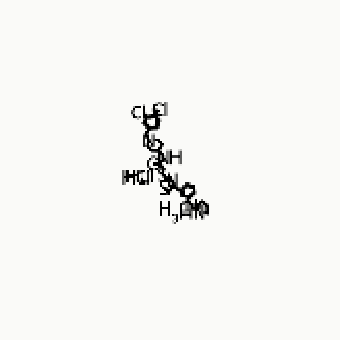 CN(c1cccc(-c2csc(SCC(=O)NC3CCN(Cc4ccc(Cl)c(Cl)c4)CC3)n2)c1)[C@@H]1CCCN1.Cl.Cl